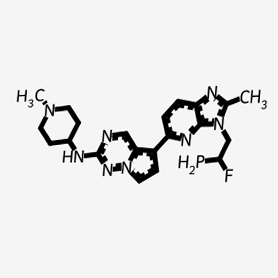 Cc1nc2ccc(-c3ccn4nc(NC5CCN(C)CC5)ncc34)nc2n1CC(F)P